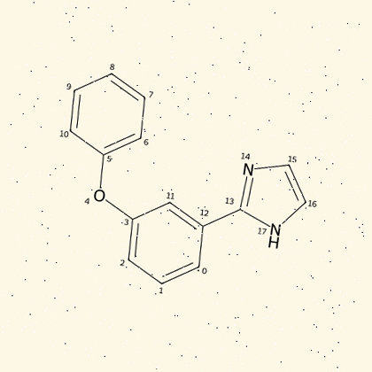 [c]1ccc(Oc2ccccc2)cc1-c1ncc[nH]1